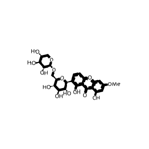 COc1cc(O)c2c(=O)c3c(O)c([C@@H]4O[C@H](CO[C@@H]5OC[C@@H](O)[C@H](O)[C@H]5O)[C@@H](O)[C@H](O)[C@H]4O)ccc3oc2c1